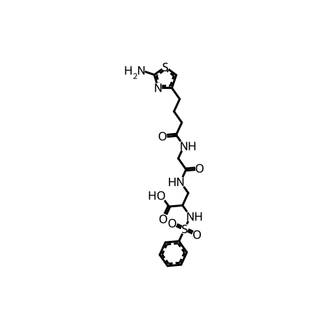 Nc1nc(CCCC(=O)NCC(=O)NCC(NS(=O)(=O)c2ccccc2)C(=O)O)cs1